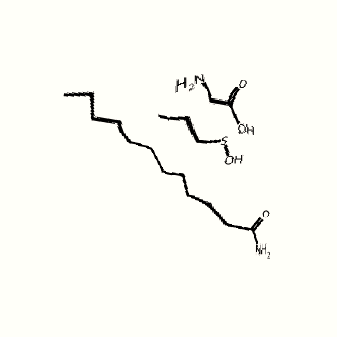 CCCCCCCCCCCC(N)=O.CCCSO.NCC(=O)O